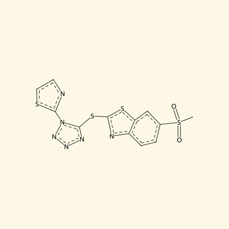 CS(=O)(=O)c1ccc2nc(Sc3nnnn3-c3nccs3)sc2c1